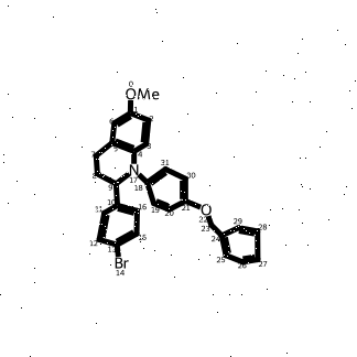 COc1ccc2c(c1)CCC(c1ccc(Br)cc1)N2c1ccc(OCc2ccccc2)cc1